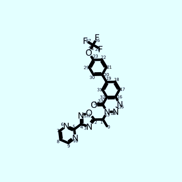 CC(c1nc(-c2ncccn2)no1)n1nnc2ccc(-c3ccc(OC(F)(F)F)cc3)cc2c1=O